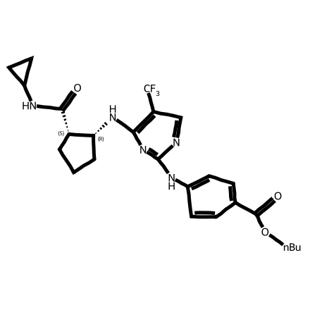 CCCCOC(=O)c1ccc(Nc2ncc(C(F)(F)F)c(N[C@@H]3CCC[C@@H]3C(=O)NC3CC3)n2)cc1